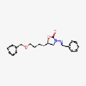 O=C1OC(CCCCOCc2ccccc2)CN1/N=C/c1ccccc1